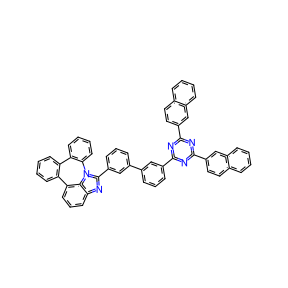 c1cc(-c2cccc(-c3nc4cccc5c4n3-c3ccccc3-c3ccccc3-5)c2)cc(-c2nc(-c3ccc4ccccc4c3)nc(-c3ccc4ccccc4c3)n2)c1